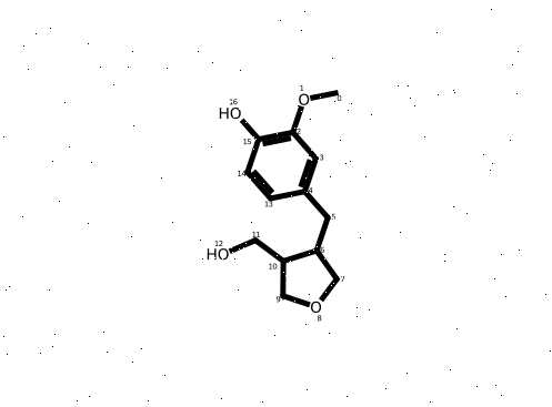 COc1cc(CC2CO[CH]C2CO)ccc1O